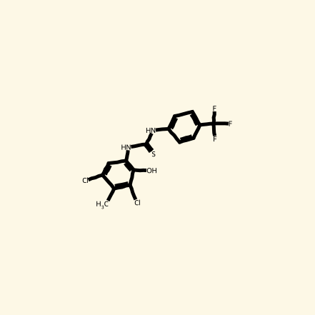 Cc1c(Cl)cc(NC(=S)Nc2ccc(C(F)(F)F)cc2)c(O)c1Cl